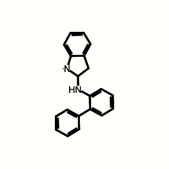 c1ccc(-c2ccccc2NC2Cc3ccccc3[N]2)cc1